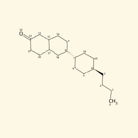 CCCC[C@H]1CC[C@H](C2CCC3CC(=O)CCC3C2)CC1